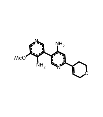 COc1cncc(-c2cnc(C3=CCOCC3)cc2N)c1N